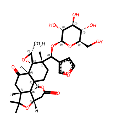 CC1(C)O[C@H]2CC(=O)OC[C@]23[C@H]2CC[C@@](C)([C@@H](O[C@@H]4O[C@H](CO)[C@@H](O)[C@H](O)[C@H]4O)c4ccoc4)[C@@]4(O[C@@H]4C(=O)O)[C@]2(C)C(=O)C[C@@H]13